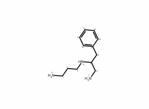 NCCCNC(CN)Cc1ccccc1